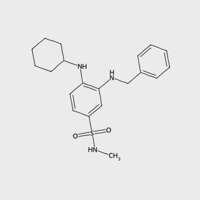 CNS(=O)(=O)c1ccc(NC2CCCCC2)c(NCc2ccccc2)c1